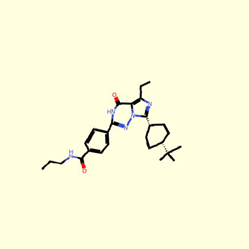 CCCNC(=O)c1ccc(-c2nn3c(c(CC)nc3[C@H]3CC[C@@H](C(C)(C)C)CC3)c(=O)[nH]2)cc1